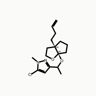 C=CCC[C@@]12CCC[C@]1(OC(C)c1cc(Cl)n(C)n1)OCC2